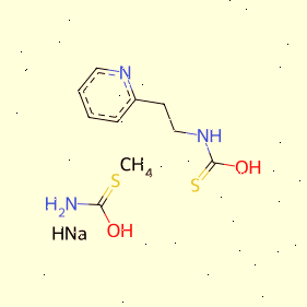 C.NC(O)=S.OC(=S)NCCc1ccccn1.[NaH]